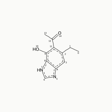 CCc1cc2nc[nH]c2c(O)c1C(C)=O